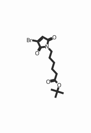 CC(C)(C)OC(=O)CCCCCN1C(=O)C=C(Br)C1=O